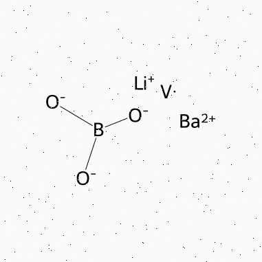 [Ba+2].[Li+].[O-]B([O-])[O-].[V]